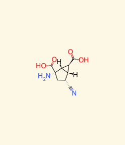 N#C[C@@H]1C[C@@](N)(C(=O)O)[C@@H]2[C@@H](C(=O)O)[C@@H]21